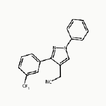 N#CCc1cn(-c2ccccc2)nc1-c1cccc(C(F)(F)F)c1